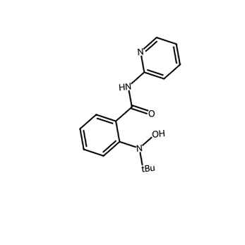 CC(C)(C)N(O)c1ccccc1C(=O)Nc1ccccn1